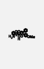 COc1ccc(-n2c(-c3ccccc3)cc3oc(=O)c(Sc4ccccc4N)c(O)c3c2=O)cc1